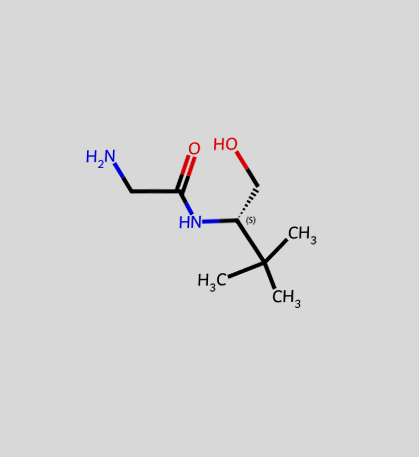 CC(C)(C)[C@@H](CO)NC(=O)CN